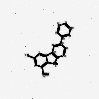 CNc1cc(F)cc2c1[nH]c1ccc(-c3cncnc3)cc12